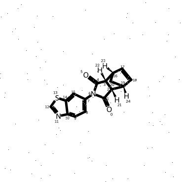 O=C1[C@@H]2[C@H](C(=O)N1c1ccc3ncsc3c1)[C@@H]1C=C[C@H]2C1